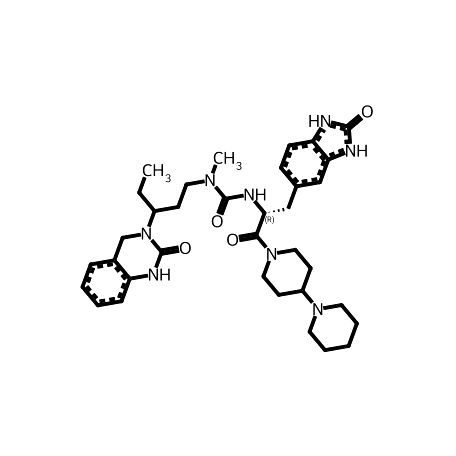 CCC(CCN(C)C(=O)N[C@H](Cc1ccc2[nH]c(=O)[nH]c2c1)C(=O)N1CCC(N2CCCCC2)CC1)N1Cc2ccccc2NC1=O